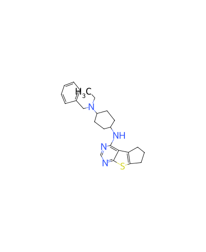 CCN(Cc1ccccc1)C1CCC(Nc2ncnc3sc4c(c23)CCC4)CC1